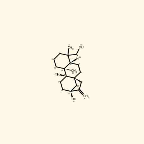 C=C1C[C@]23CC[C@H]4C(C)(CO)CCC[C@]4(C)[C@H]2CC[C@]1(O)C3